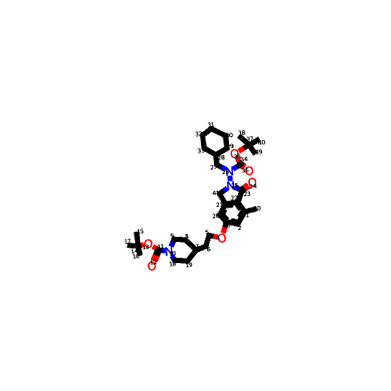 Cc1cc(OCCC2CCN(C(=O)OC(C)(C)C)CC2)cc2c1C(=O)N(N(CC1CCCCC1)C(=O)OC(C)(C)C)C2